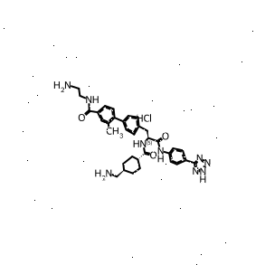 Cc1cc(C(=O)NCCN)ccc1-c1ccc(C[C@H](NC(=O)[C@H]2CC[C@H](CN)CC2)C(=O)Nc2ccc(-c3nn[nH]n3)cc2)cc1.Cl